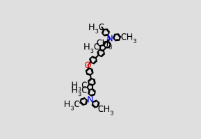 Cc1ccc(N(c2ccc(C)cc2)c2ccc3c(c2)C(C)(C)c2cc(-c4ccc(Oc5ccc(-c6ccc7c(c6)C(C)(C)c6cc(N(c8ccc(C)cc8)c8ccc(C)cc8)ccc6-7)cc5)cc4)ccc2-3)cc1